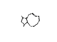 CC1CC(C)C2CCCCC/C=C/C=C/12